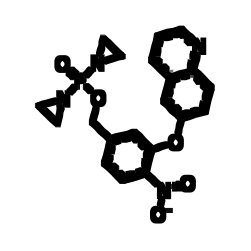 O=[N+]([O-])c1ccc(COP(=O)(N2CC2)N2CC2)cc1Oc1ccc2ncccc2c1